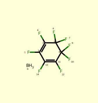 B.FC1=C(F)C(F)(F)C(F)(F)C(F)=C1F